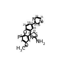 COc1cc(F)c2c(c1)[C@]1(CSC(N)=N1)c1cc(-c3cnccn3)ccc1O2